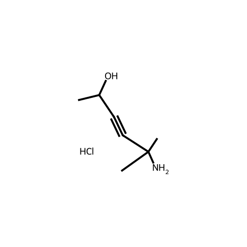 CC(O)C#CC(C)(C)N.Cl